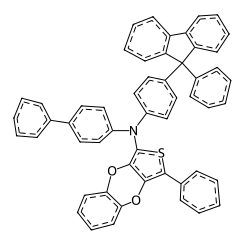 c1ccc(-c2ccc(N(c3ccc(C4(c5ccccc5)c5ccccc5-c5ccccc54)cc3)c3sc(-c4ccccc4)c4c3Oc3ccccc3O4)cc2)cc1